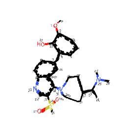 COc1cccc(-c2ccc3ncc(S(C)(=O)=O)c(N4CCC(C(C)N(C)C)CC4)c3c2)c1O